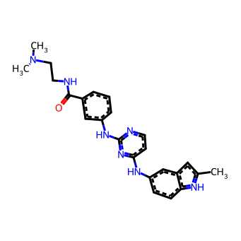 Cc1cc2cc(Nc3ccnc(Nc4cccc(C(=O)NCCN(C)C)c4)n3)ccc2[nH]1